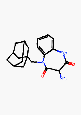 NC1C(=O)Nc2ccccc2N(CC23CC4CC(CC(C4)C2)C3)C1=O